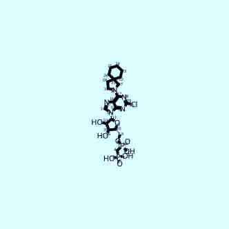 O=P(O)(O)CP(=O)(O)OC[C@H]1O[C@@H](n2cnc3c(N4CCC5(CCCCC5)C4)nc(Cl)nc32)C(O)C1O